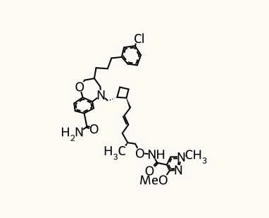 COc1nn(C)cc1C(=O)NOC[C@@H](C)C/C=C/C[C@@H]1CC[C@H]1CN1CC(CCCc2cccc(Cl)c2)COc2ccc(C(N)=O)cc21